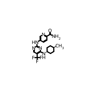 C[C@H]1CC[C@H](Nc2nc(Nc3ccc(C(N)=O)nc3)ncc2C(F)(F)F)CC1